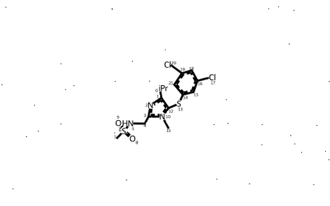 CC(C)c1nc(CNS(C)(=O)=O)n(C)c1Sc1cc(Cl)cc(Cl)c1